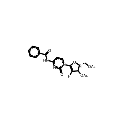 CC(=O)OC[C@H]1OC(n2ccc(NC(=O)c3ccccc3)nc2=O)=C(F)C1OC(C)=O